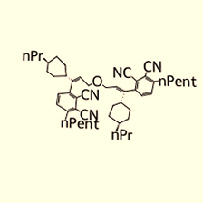 CCCCCc1ccc(C(=CCOCC=C(c2ccc(CCCCC)c(C#N)c2C#N)[C@H]2CC[C@H](CCC)CC2)[C@H]2CC[C@H](CCC)CC2)c(C#N)c1C#N